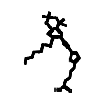 CCCCCCSc1cc2c(cc1C#Cc1ccc(CCCCC(=O)O)s1)C(C)(C)CC(C)(C)O2